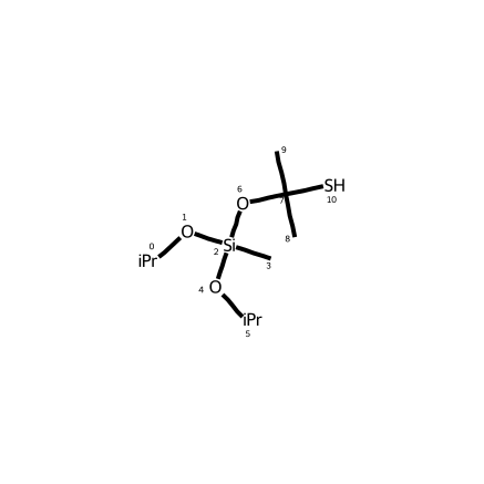 CC(C)O[Si](C)(OC(C)C)OC(C)(C)S